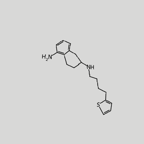 Nc1cccc2c1CCC(NCCCCc1cccs1)C2